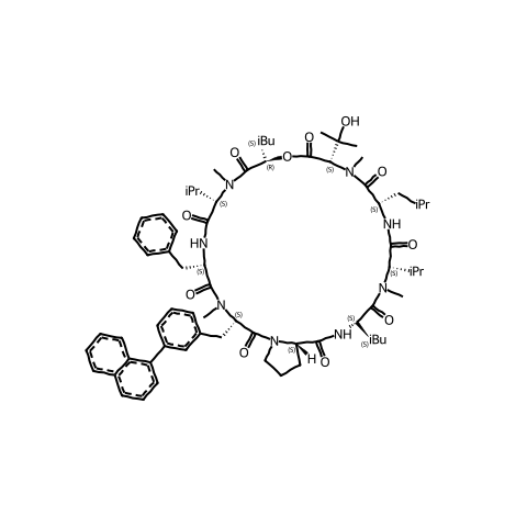 CC[C@H](C)[C@@H]1NC(=O)[C@@H]2CCCN2C(=O)[C@H](Cc2cccc(-c3cccc4ccccc34)c2)N(C)C(=O)[C@H](Cc2ccccc2)NC(=O)[C@H](C(C)C)N(C)C(=O)[C@@H]([C@@H](C)CC)OC(=O)[C@H](C(C)(C)O)N(C)C(=O)[C@H](CC(C)C)NC(=O)[C@H](C(C)C)N(C)C1=O